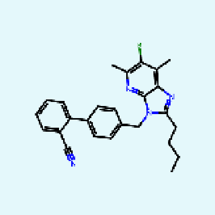 CCCCc1nc2c(C)c(Br)c(C)nc2n1Cc1ccc(-c2ccccc2C#N)cc1